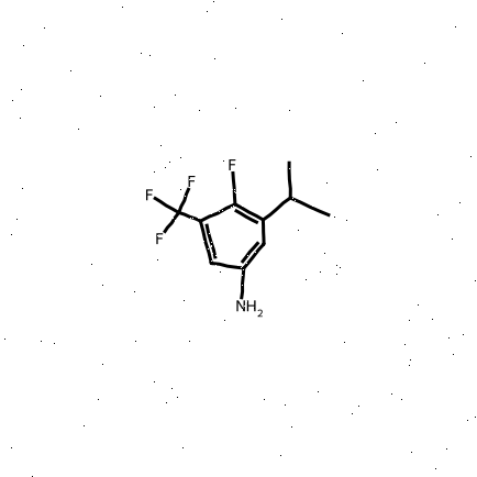 CC(C)c1cc(N)cc(C(F)(F)F)c1F